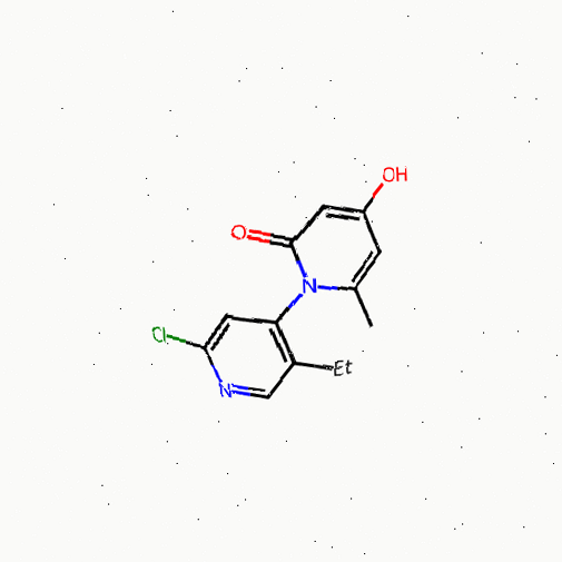 CCc1cnc(Cl)cc1-n1c(C)cc(O)cc1=O